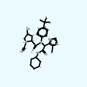 Cc1nc[nH]c1C(C(=O)NC1CCCCC1)N(C(=O)C1CC(O)CN1C#N)c1ccc(C(C)(C)C)cc1